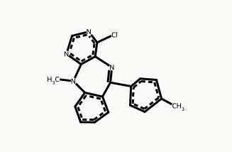 Cc1ccc(C2=Nc3c(Cl)ncnc3N(C)c3ccccc32)cc1